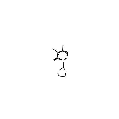 O=c1c(Cl)c(Cl)cnn1C1NCCO1